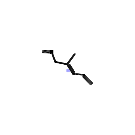 C=C/C=C(\C)CN=C